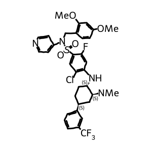 CN[C@H]1C[C@@H](c2cccc(C(F)(F)F)c2)CC[C@@H]1Nc1cc(F)c(S(=O)(=O)N(Cc2ccc(OC)cc2OC)c2ccncc2)cc1Cl